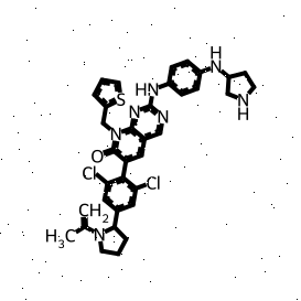 C=C(C)N1CCCC1c1cc(Cl)c(-c2cc3cnc(Nc4ccc(NC5CCNC5)cc4)nc3n(Cc3cccs3)c2=O)c(Cl)c1